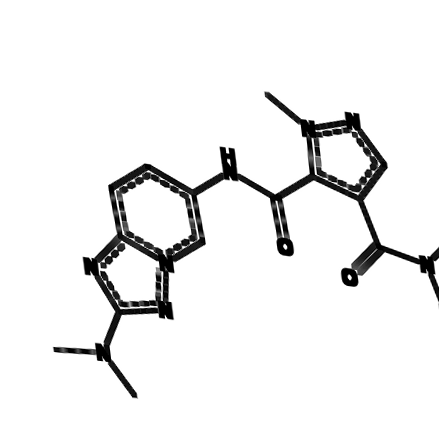 CCN(C)C(=O)c1cnn(C)c1C(=O)Nc1ccc2nc(N(C)C)nn2c1